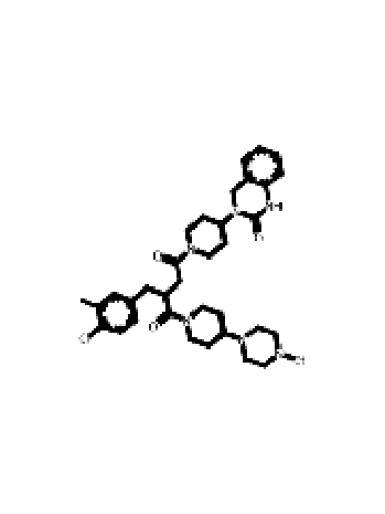 CCN1CCN(C2CCN(C(=O)C(CC(=O)N3CCC(N4Cc5ccccc5NC4=O)CC3)Cc3ccc(Cl)c(C)c3)CC2)CC1